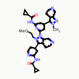 COCCn1c(-c2ccnc(NC(=O)C3CC3)c2)c2ccncc2[n+]1-c1cc(-c2c3ccncc3nn2C)cc(NC(=O)C2CC2)n1